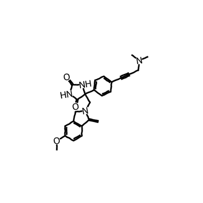 C=C1c2ccc(OC)cc2CN1CC1(c2ccc(C#CCN(C)C)cc2)NC(=O)NC1=O